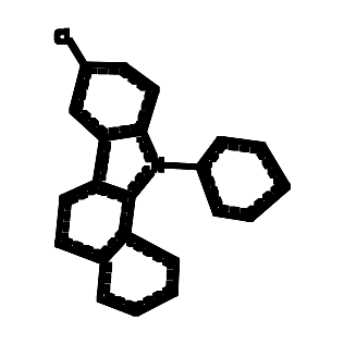 Clc1ccc2c(c1)c1ccc3ccccc3c1n2-c1ccccc1